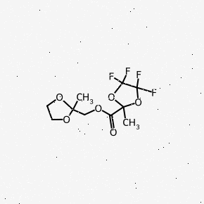 CC1(COC(=O)C2(C)OC(F)(F)C(F)(F)O2)OCCO1